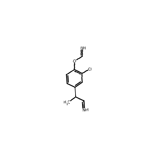 CC(C=N)c1ccc(OC=N)c(Cl)c1